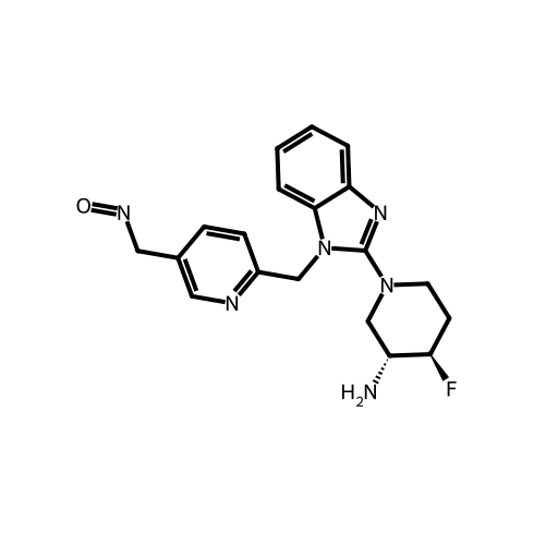 N[C@@H]1CN(c2nc3ccccc3n2Cc2ccc(CN=O)cn2)CC[C@H]1F